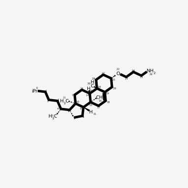 CC(C)CCC[C@@H](C)[C@H]1CC[C@@H]2[C@]1(C)CC[C@H]1[C@@]2(C)CC=C2C[C@@H](OCCCN)CC[C@@]21C